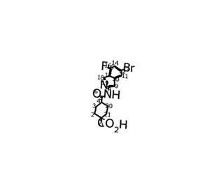 O=C(O)C1CCC(C(=O)Nc2cc3cc(Br)cc(F)c3cn2)CC1